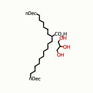 CCCCCCCCCCCCCCCCCCCCC(CCCCCCCCCCCCCCCC)C(=O)O.OCC(O)CO